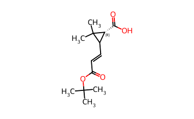 CC(C)(C)OC(=O)C=CC1[C@@H](C(=O)O)C1(C)C